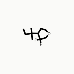 CCC(C)(C)C1CCOCC1(F)F